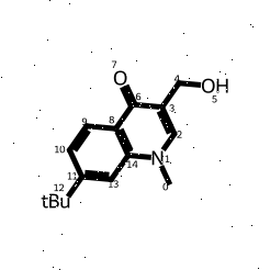 Cn1cc(CO)c(=O)c2ccc(C(C)(C)C)cc21